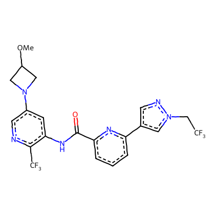 COC1CN(c2cnc(C(F)(F)F)c(NC(=O)c3cccc(-c4cnn(CC(F)(F)F)c4)n3)c2)C1